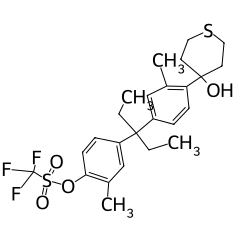 CCC(CC)(c1ccc(OS(=O)(=O)C(F)(F)F)c(C)c1)c1ccc(C2(O)CCSCC2)c(C)c1